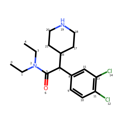 CCN(CC)C(=O)C(c1ccc(Cl)c(Cl)c1)C1CCNCC1